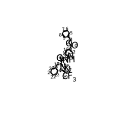 O=C(OCc1ccccc1)c1ccc(NC(=O)[C@H](CC2CCCCC2)n2cnc(C(F)(F)F)c2)nc1